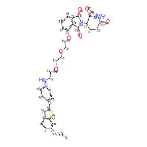 Cc1ccc2nc(-c3ccc(NCCOCCOCCOc4cccc5c4C(=O)N(C4CCC(=O)NC4=O)C5=O)cc3)sc2c1